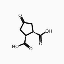 O=C1C[C@H](C(=O)O)[C@H](C(=O)O)C1